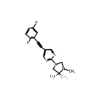 CN1CN(c2ncc(C#Cc3cc(F)ccc3F)cn2)CC1(C)C